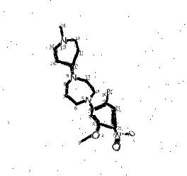 COc1cc(N2CCCN(C3CCN(C)CC3)CC2)c(Br)cc1[N+](=O)[O-]